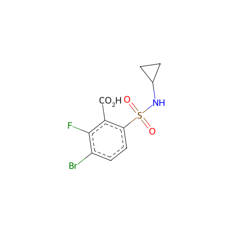 O=C(O)c1c(S(=O)(=O)NC2CC2)ccc(Br)c1F